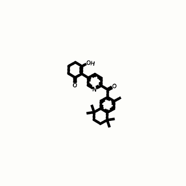 Cc1cc2c(cc1C(=O)c1ccc(C3=C(O)CCCC3=O)cn1)C(C)(C)CCC2(C)C